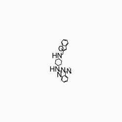 CN(C)c1nc(N[C@H]2CC[C@@H](NCc3cc4ccccc4o3)CC2)nc2ccccc12